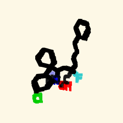 O=C(O)C(F)(CCCCc1ccccc1)C/C(=N\O)C1(c2ccc(Cl)cc2)C=CC=CC1